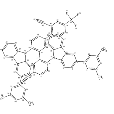 Cc1cc(C)cc(-c2ccc3c(c2)c2ccccc2n3-c2ccc(C#N)cc2-c2cc(-c3ccc(C(F)(F)F)cc3C#N)ccc2-n2c3ccccc3c3cc(-c4cc(C)cc(C)c4)ccc32)c1